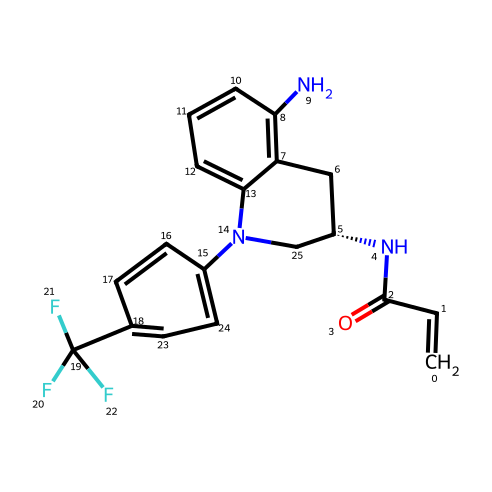 C=CC(=O)N[C@H]1Cc2c(N)cccc2N(c2ccc(C(F)(F)F)cc2)C1